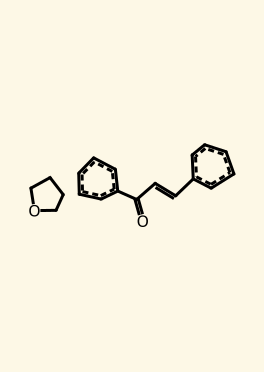 C1CCOC1.O=C(C=Cc1ccccc1)c1ccccc1